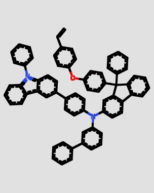 C=Cc1ccc(Oc2ccc(C3(c4ccccc4)c4ccccc4-c4ccc(N(c5ccc(-c6ccc7c(c6)c6ccccc6n7-c6ccccc6)cc5)c5cccc(-c6ccccc6)c5)cc43)cc2)cc1